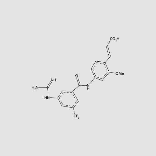 COc1cc(NC(=O)c2cc(NC(=N)N)cc(C(F)(F)F)c2)ccc1/C=C/C(=O)O